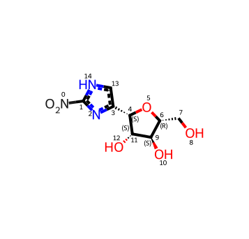 O=[N+]([O-])c1nc([C@@H]2O[C@H](CO)[C@@H](O)[C@@H]2O)c[nH]1